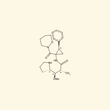 CO[C@@H]([C@@H]1CCCN1)[C@@H](C)C(=O)NC1(C(=O)N2CCCCO2)C[C@@H]1c1ccccc1